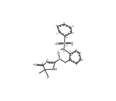 CC1(C)NC([S+]([O-])Cc2ccccc2NS(=O)(=O)c2ccccc2)=NC1=S